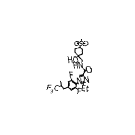 CCc1nc(C(=O)NCC2(O)CCC(S(C)(=O)=O)CC2)cn1-c1c(F)cc(CC(C)C(F)(F)F)cc1F